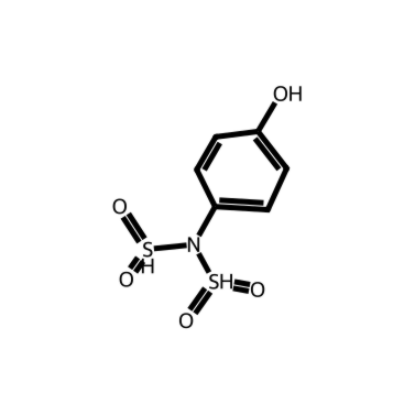 O=[SH](=O)N(c1ccc(O)cc1)[SH](=O)=O